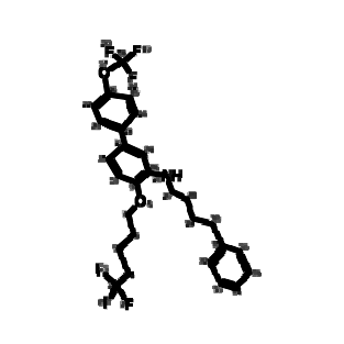 FC(F)(F)CCCCOc1ccc(-c2ccc(OC(F)(F)F)cc2)cc1NCCCCc1ccccc1